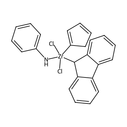 [Cl][Zr]([Cl])([NH]c1ccccc1)([C]1=CC=CC1)[CH]1c2ccccc2-c2ccccc21